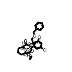 C=C[C@H]1CN([C@@H](C)COCc2ccccc2)C(=O)[C@@H]2CCC[C@H]1N2S(=O)(=O)c1cc(Cl)cc(Cl)c1